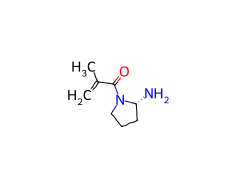 C=C(C)C(=O)N1CCC[C@H]1N